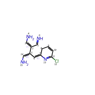 N=CC(=C\N)/C(/C=C1\CC=CC(Cl)=N1)=C/N